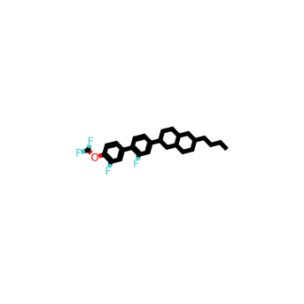 CCCCC1CCC2CC(c3ccc(-c4ccc(OC(F)F)c(F)c4)c(F)c3)CCC2C1